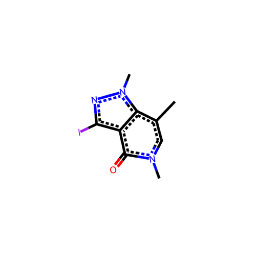 Cc1cn(C)c(=O)c2c(I)nn(C)c12